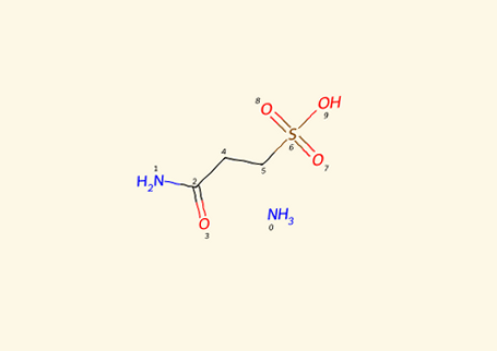 N.NC(=O)CCS(=O)(=O)O